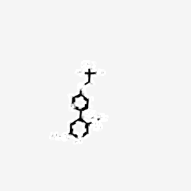 CCS(=O)(=O)c1cnc(OC)cc1-c1ccc(OCC(F)(F)C(F)(F)F)cn1